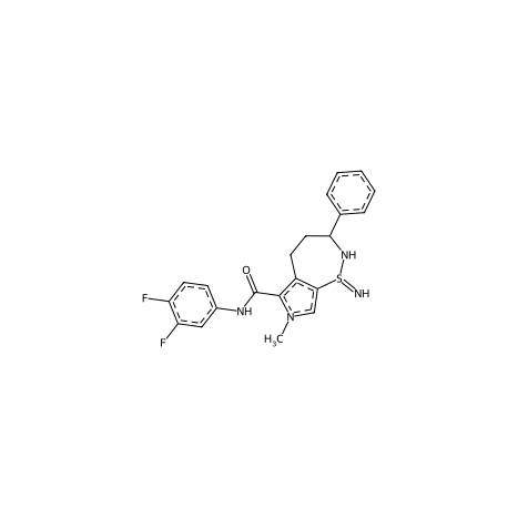 Cn1cc2c(c1C(=O)Nc1ccc(F)c(F)c1)CCC(c1ccccc1)NS2=N